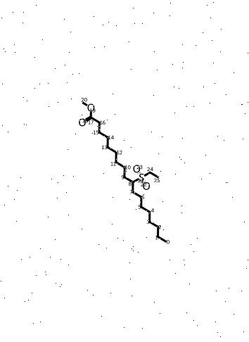 CCCCCCCCC(CCCCCCCCC(=O)OC)S(=O)(=O)CC